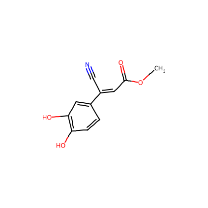 COC(=O)C=C(C#N)c1ccc(O)c(O)c1